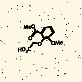 COC(=O)c1cccc(OC)c1OCC(=O)O